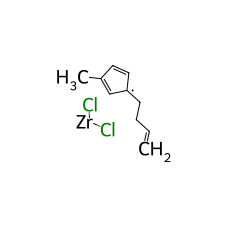 C=CCC[C]1C=CC(C)=C1.[Cl][Zr][Cl]